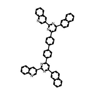 c1ccc2cc(-c3cc(-c4ccc(-c5ccc(-c6cc(-c7ccc8ccccc8c7)nc(-c7cnc8ccccc8c7)n6)cc5)cc4)nc(-c4cnc5ccccc5c4)n3)ccc2c1